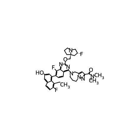 CCc1c(F)ccc2cc(O)cc(-c3ccc4c(N5CCCn6nc(C(=O)N(C)C)cc6C5)nc(OC[C@@]56CCCN5C[C@H](F)C6)nc4c3F)c12